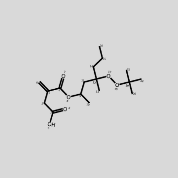 C=C(CC(=O)O)C(=O)OC(C)CC(C)(CCC)OOC(C)(C)C